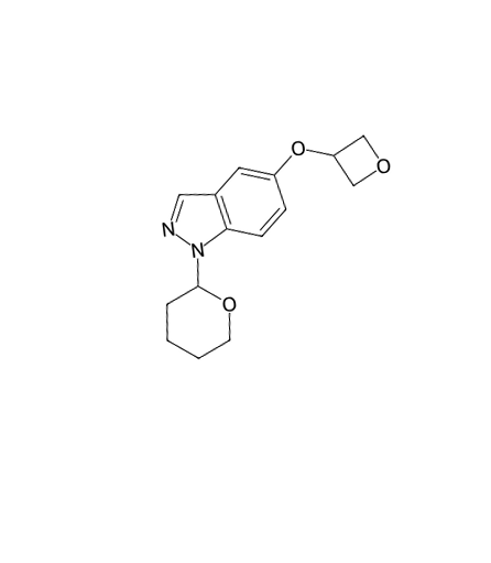 c1cc2c(cnn2C2CCCCO2)cc1OC1COC1